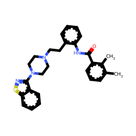 Cc1cccc(C(=O)Nc2ccccc2CCN2CCN(c3nsc4ccccc34)CC2)c1C